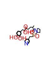 CC(CCC(=O)C(O)Cc1ccc(O)c(O)c1)C(=O)N1CCCC1C(=O)SCCc1ccncc1